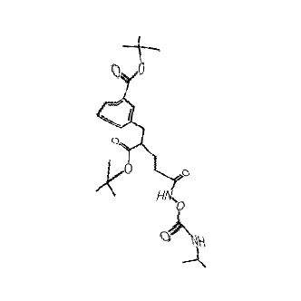 CC(C)NC(=O)ONC(=O)CCC(Cc1cccc(C(=O)OC(C)(C)C)c1)C(=O)OC(C)(C)C